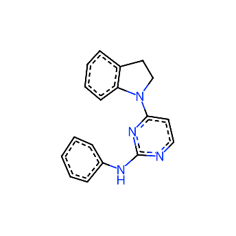 c1ccc(Nc2nccc(N3CCc4ccccc43)n2)cc1